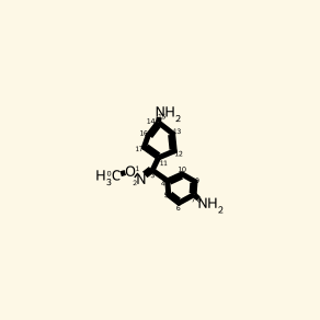 CON=C(c1ccc(N)cc1)c1ccc(N)cc1